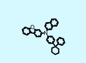 c1ccc(C2(c3ccc(N(c4ccc5ccccc5c4)c4ccc5c(c4)oc4ccccc45)cc3)CCCCC2)cc1